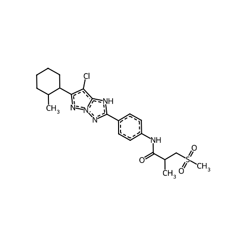 CC(CS(C)(=O)=O)C(=O)Nc1ccc(-c2nn3nc(C4CCCCC4C)c(Cl)c3[nH]2)cc1